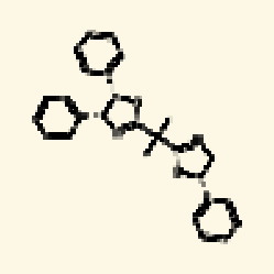 CC(C)(C1=NC[C@H](c2ccccc2)O1)C1=N[C@H](c2ccccc2)[C@H](c2ccccc2)O1